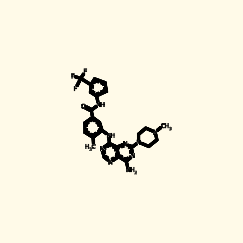 Cc1ccc(C(=O)Nc2cccc(C(F)(F)F)c2)cc1Nc1ncnc2c(N)nc(N3CCN(C)CC3)nc12